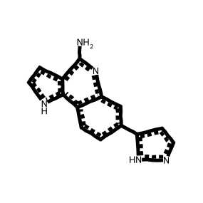 Nc1nc2cc(-c3ccn[nH]3)ccc2c2[nH]ccc12